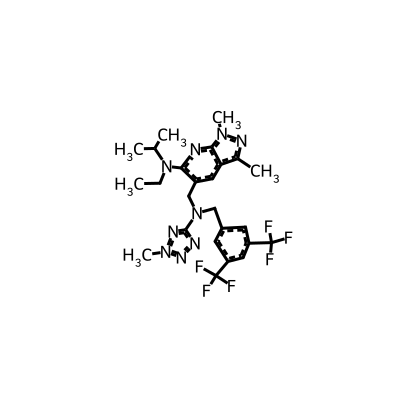 CCN(c1nc2c(cc1CN(Cc1cc(C(F)(F)F)cc(C(F)(F)F)c1)c1nnn(C)n1)c(C)nn2C)C(C)C